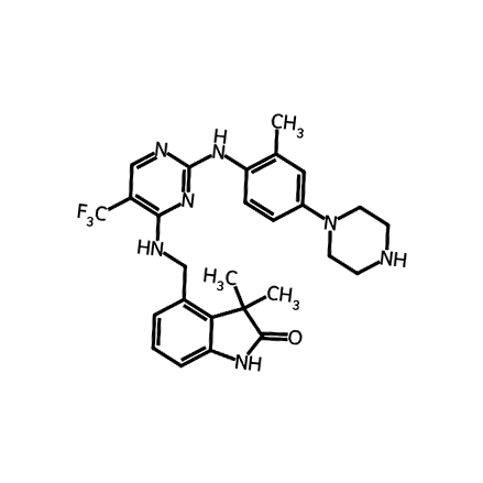 Cc1cc(N2CCNCC2)ccc1Nc1ncc(C(F)(F)F)c(NCc2cccc3c2C(C)(C)C(=O)N3)n1